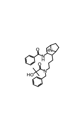 CC(C)(O)C(=O)N(CCCC1C(NC(=O)c2ccccc2)CC2CCC1N2)Cc1ccccc1